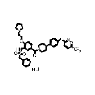 Cl.O=C(c1ccc(OCCN2CCCC2)c(NS(=O)(=O)Cc2ccccc2)c1)N1CCC(c2ccc(Oc3ccc(C(F)(F)F)nn3)cc2)CC1